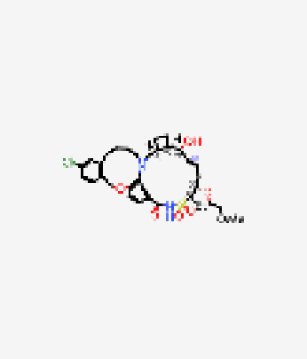 CC[C@@H]1[C@@H](OCCOC)C/C=C/[C@H](O)[C@@H]2CC[C@H]2CN2CCCCc3cc(Cl)ccc3COc3ccc(cc32)C(=O)NS1(=O)=O